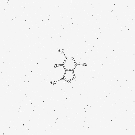 Cn1cc(Br)c2ccn(C)c2c1=O